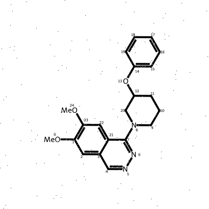 COc1cc2cnnc(N3CCCC(Oc4ccccc4)C3)c2cc1OC